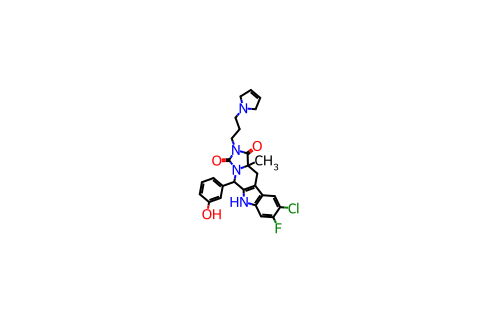 CC12Cc3c([nH]c4cc(F)c(Cl)cc34)C(c3cccc(O)c3)N1C(=O)N(CCCN1CC=CC1)C2=O